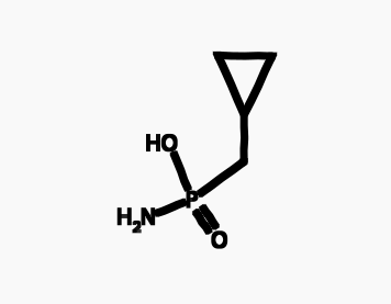 NP(=O)(O)CC1CC1